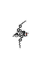 CCCCCCc1ccc(-c2cccc3c2C=C(c2ccc(CCC)o2)[CH]3[Zr+2][CH]2C(c3ccc(CCC)o3)=Cc3c(-c4ccc(CCCCCC)cc4)cccc32)cc1.[Cl-].[Cl-]